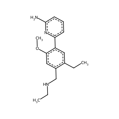 CCNCc1cc(OC)c(-c2cccc(N)n2)cc1CC